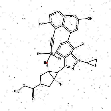 CCc1nc(-c2cc(O)cc3ccc(F)c(C#C[Si](C(C)C)(C(C)C)C(C)C)c23)c(F)c2c1c(C1[C@H]3CN(C(=O)OC(C)(C)C)C[C@@H]13)nn2C1CC1